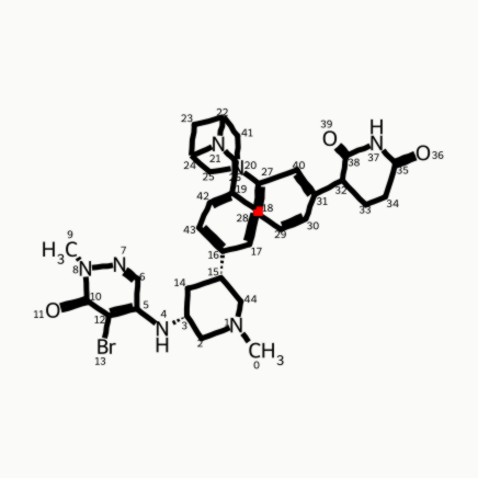 CN1C[C@H](Nc2cnn(C)c(=O)c2Br)C[C@H](c2ccc(CN3C4CC3CN(c3cccc(C5CCC(=O)NC5=O)c3)C4)cc2)C1